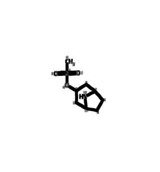 CS(=O)(=O)OC1CC2CCC(C1)N2